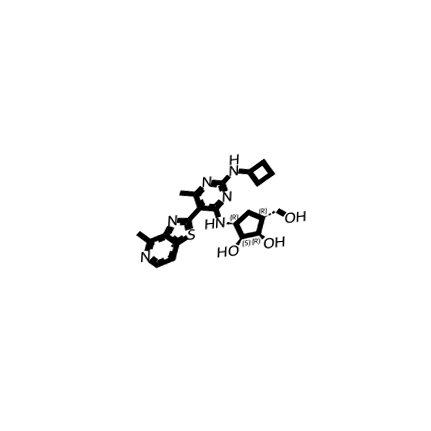 Cc1nc(NC2CCC2)nc(N[C@@H]2C[C@H](CO)[C@@H](O)[C@H]2O)c1-c1nc2c(C)nccc2s1